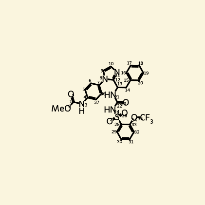 COC(=O)Nc1ccc(-n2ccnc2C(Cc2ccccc2)NC(=O)NS(=O)(=O)c2ccccc2OC(F)(F)F)cc1